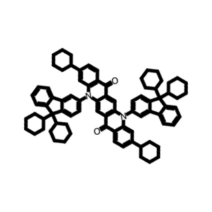 O=c1c2ccc(C3CCCCC3)cc2n(-c2ccc3c(c2)-c2ccccc2C3(C2CCCCC2)C2CCCCC2)c2cc3c(=O)c4ccc(C5CCCCC5)cc4n(-c4ccc5c(c4)-c4ccccc4C5(C4CCCCC4)C4CCCCC4)c3cc12